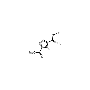 C=C(OCC)c1csc(C(=O)OC)c1F